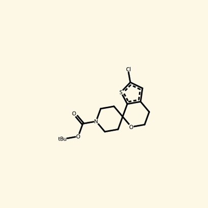 CC(C)(C)OC(=O)N1CCC2(CC1)OCCc1cc(Cl)sc12